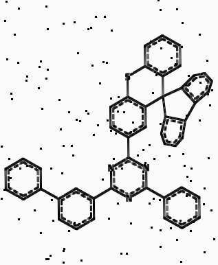 c1ccc(-c2cccc(-c3nc(-c4ccccc4)nc(-c4ccc5c(c4)C4(c6ccccc6S5)c5ccccc5-c5ccccc54)n3)c2)cc1